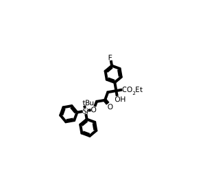 CCOC(=O)C(O)(CC(=O)CO[Si](c1ccccc1)(c1ccccc1)C(C)(C)C)c1ccc(F)cc1